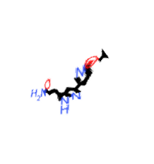 NC(=O)C=Cc1c[nH]c2ncc(-c3ccc(OCC4CC4)nc3)cc12